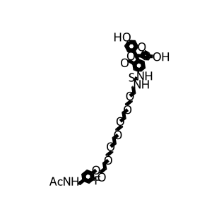 CC(=O)NCc1ccc(OC(=O)CCOCCOCCOCCOCCOCCOCCNC(=S)Nc2ccc3c(c2)C(=O)OC32c3ccc(O)cc3Oc3cc(O)ccc32)c(F)c1